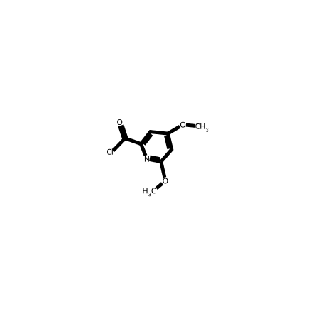 COc1cc(OC)nc(C(=O)Cl)c1